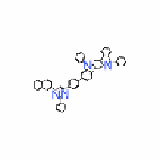 c1ccc(-c2nc(-c3ccc(-c4ccc5c6cc7nc(-c8ccccc8)c8ccccc8c7cc6n(-c6ccccc6)c5c4)cc3)cc(-c3ccc4ccccc4c3)n2)cc1